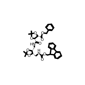 CC1(C)O[C@@H](CNC(=O)OCC2c3ccccc3-c3ccccc32)[C@@H](CNC(=O)[C@@H]2OC(C)(C)O[C@@H]2C(=O)OCc2ccccc2)O1